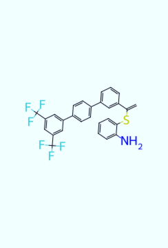 C=C(Sc1ccccc1N)c1cccc(-c2ccc(-c3cc(C(F)(F)F)cc(C(F)(F)F)c3)cc2)c1